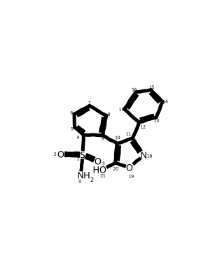 NS(=O)(=O)c1ccccc1-c1c(-c2ccccc2)noc1O